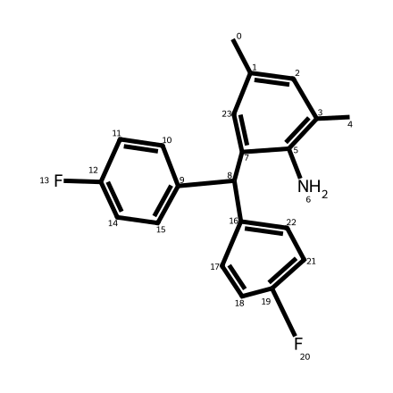 Cc1cc(C)c(N)c(C(c2ccc(F)cc2)c2ccc(F)cc2)c1